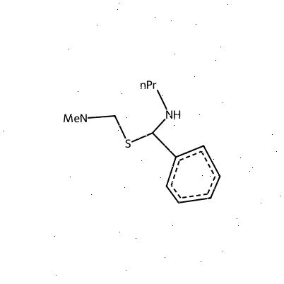 CCCNC(SCNC)c1ccccc1